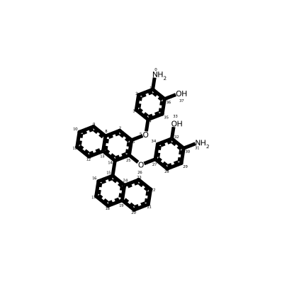 Nc1ccc(Oc2cc3ccccc3c(-c3cccc4ccccc34)c2Oc2ccc(N)c(O)c2)cc1O